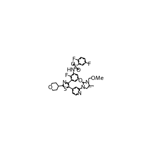 COCN1C(=O)N(c2cc(-c3sc(C4CCOCC4)nc3-c3cccc(NS(=O)(=O)c4cc(F)ccc4F)c3F)ccn2)C[C@@H]1C